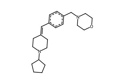 C(=C1CCN(C2CCCC2)CC1)c1ccc(CN2CCOCC2)cc1